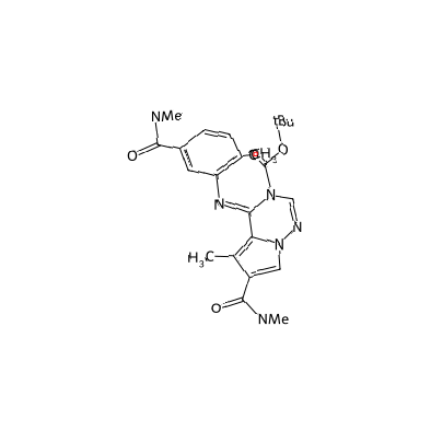 CNC(=O)c1ccc(C)c(/N=c2/c3c(C)c(C(=O)NC)cn3ncn2C(=O)OC(C)(C)C)c1